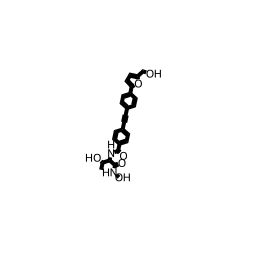 CC(O)C(NC(=O)c1ccc(C#Cc2ccc(-c3ccc(CO)o3)cc2)cc1)C(=O)NO